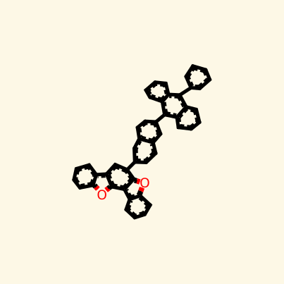 c1ccc(-c2c3ccccc3c(-c3ccc4cc(-c5cc6c7ccccc7oc6c6c5oc5ccccc56)ccc4c3)c3ccccc23)cc1